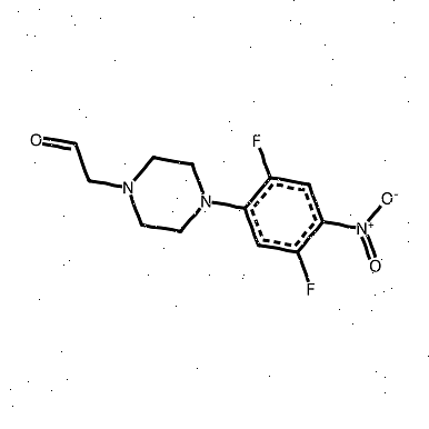 O=CCN1CCN(c2cc(F)c([N+](=O)[O-])cc2F)CC1